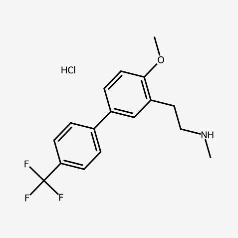 CNCCc1cc(-c2ccc(C(F)(F)F)cc2)ccc1OC.Cl